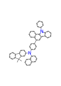 CC1(C)c2ccccc2-c2ccc(N(c3ccc(-c4cc5c6ccccc6n(-c6ccccc6)c5c5ccccc45)cc3)c3cccc4ccccc34)cc21